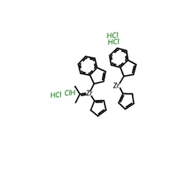 C1=CC[C]([Zr][CH]2C=Cc3ccccc32)=C1.C[C](C)=[Zr]([C]1=CC=CC1)[CH]1C=Cc2ccccc21.Cl.Cl.Cl.Cl